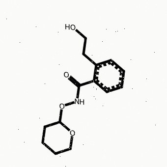 O=C(NOC1CCCCO1)c1ccccc1CCO